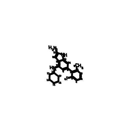 Cc1cccc(F)c1-c1cc(NC2CCCCC2)c2cc(N)[nH]c2c1